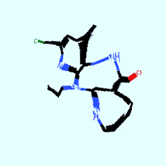 CCN1c2ncccc2C(=O)Nc2c(C)cc(Cl)nc21